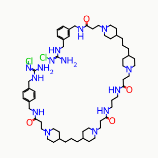 N/C(=N/Cl)NCc1cccc(CNC(=O)CCN2CCC(CCCC3CCN(CCC(=O)NCCCNC(=O)CCN4CCC(CCCC5CCN(CCC(=O)NCc6ccc(CN/C(N)=N/Cl)cc6)CC5)CC4)CC3)CC2)c1